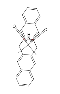 O=C1NC(=O)C2C3c4cc5ccccc5cc4C(c4cc5ccccc5cc43)C12